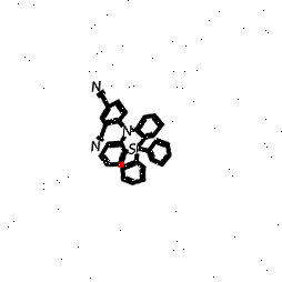 N#Cc1ccc(N2c3ccccc3[Si](c3ccccc3)(c3ccccc3)c3ccccc32)c(C#N)c1